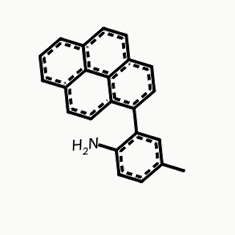 Cc1ccc(N)c(-c2ccc3ccc4cccc5ccc2c3c45)c1